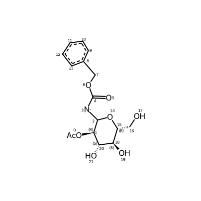 CC(=O)O[C@H]1C([N]C(=O)OCc2ccccc2)O[C@H](CO)[C@@H](O)[C@@H]1O